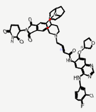 O=C(/C=C/CN1CCC(CN2C3CCC2CN(c2ccc4c(c2)C(=O)N(C2CCC(=O)NC2=O)C4=O)C3)CC1)Nc1cc2c(Nc3ccc(F)c(Cl)c3)ncnc2cc1O[C@H]1CCOC1